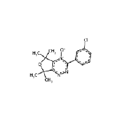 CC1(C)OC(C)(C)c2c1nnc(-c1cccc(Cl)c1)[n+]2[O-]